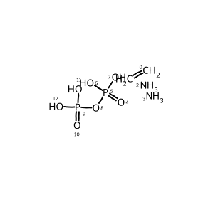 C=C.N.N.O=P(O)(O)OP(=O)(O)O